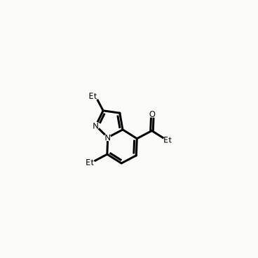 CCC(=O)c1ccc(CC)n2nc(CC)cc12